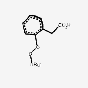 CCCCOOc1ccccc1CC(=O)O